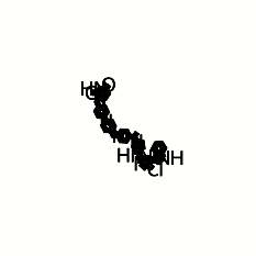 CC(C1CCN(CC2CCN(c3ccc(Cn4ccc(=O)[nH]c4=O)cc3)CC2)CC1)N1CCC(Nc2ncc(Cl)c(-c3c[nH]c4ccccc34)n2)C1